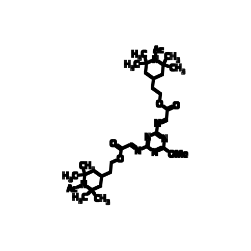 COc1nc(N=CC(=O)OCCC2CC(C)(C)N(C(C)=O)C(C)(C)C2)nc(N=CC(=O)OCCC2CC(C)(C)N(C(C)=O)C(C)(C)C2)n1